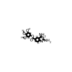 COc1cc(OC(=O)c2ccc3nc(N)nc(N)c3c2)cc(OC)c1OC